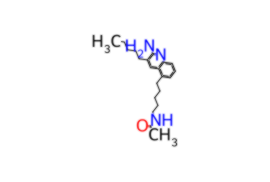 CCCCCc1cc2c(CCCCCNC(C)=O)cccc2nc1N